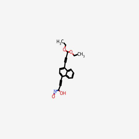 CCOC(C#Cc1ccc(C#CC(O)N=O)c2ccccc12)OCC